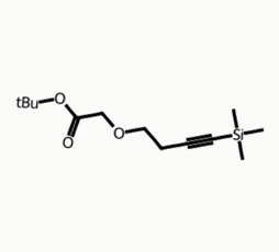 CC(C)(C)OC(=O)COCCC#C[Si](C)(C)C